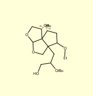 CCOC1C[C@@H](C(C)(C)C)C23C(OC[C@@H]2O)OCC13CC(CO)OCC(C)C